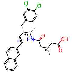 C[C@@H](CC(=O)O)CC(=O)N[C@@H](C)[C@H](/C=C/c1ccc2ccccc2c1)Cc1ccc(Cl)c(Cl)c1